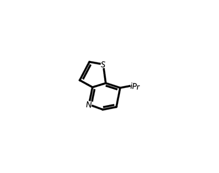 CC(C)c1ccnc2ccsc12